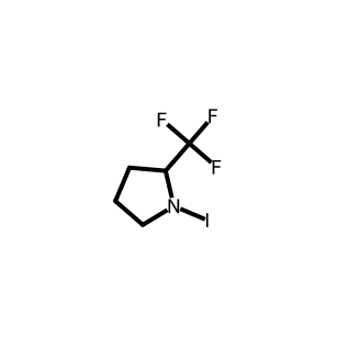 FC(F)(F)C1CCCN1I